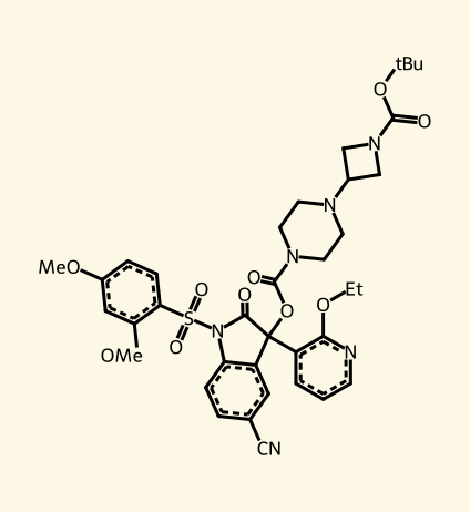 CCOc1ncccc1C1(OC(=O)N2CCN(C3CN(C(=O)OC(C)(C)C)C3)CC2)C(=O)N(S(=O)(=O)c2ccc(OC)cc2OC)c2ccc(C#N)cc21